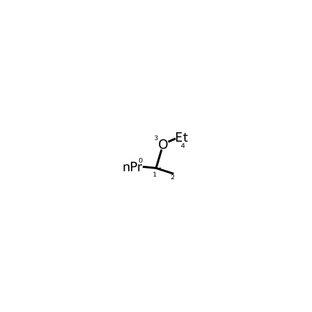 CCC[C](C)OCC